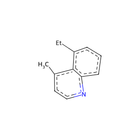 CCc1cccc2nccc(C)c12